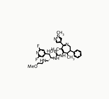 COCCNC[C@@H](NC(=O)NC1=C(C)C(c2cnn(C)c2)=NCC(c2ccccc2)C1C)[C@@H](O)c1cc(F)nc(F)c1